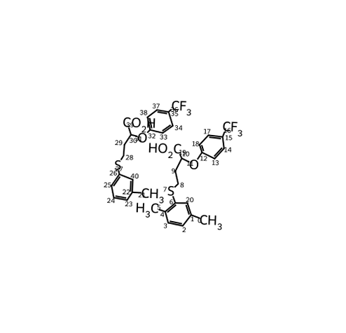 Cc1ccc(C)c(SCCC(Oc2ccc(C(F)(F)F)cc2)C(=O)O)c1.Cc1cccc(SCCC(Oc2ccc(C(F)(F)F)cc2)C(=O)O)c1